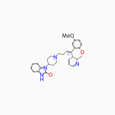 COc1ccc2c(c1)/C(=C/CCN1CCC(n3c(=O)[nH]c4ccccc43)CC1)C1C=CC=NC1CO2